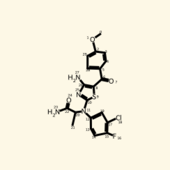 COc1ccc(C(=O)c2sc(N(c3ccc(F)c(Cl)c3)C(C)C(N)=O)nc2N)cc1